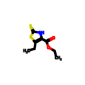 CCOC(=O)c1[nH]c(=S)sc1CC